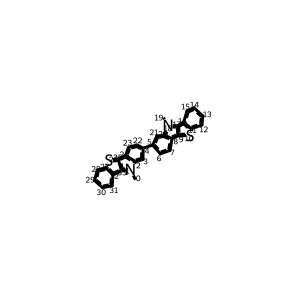 Cn1c2cc(-c3ccc4c5sc6ccccc6c5n(C)c4c3)ccc2c2sc3ccccc3c21